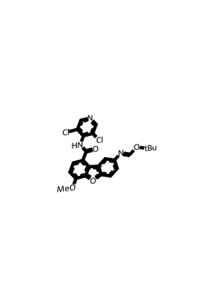 COc1ccc(C(=O)Nc2c(Cl)cncc2Cl)c2c1oc1ccc(/N=C/OC(C)(C)C)cc12